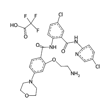 NCCOc1cc(N2CCOCC2)ccc1C(=O)Nc1ccc(Cl)cc1C(=O)Nc1ccc(Cl)cn1.O=C(O)C(F)(F)F